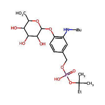 CCC(C)Nc1cc(COP(=O)(O)OC(C)(C)CC)ccc1OC1OC(C(=O)O)C(O)C(O)C1O